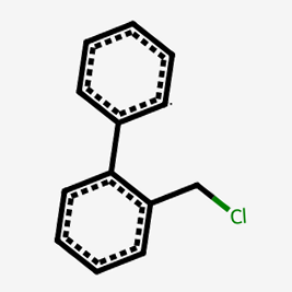 ClCc1ccccc1-c1[c]cccc1